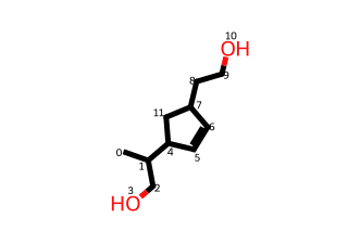 CC(CO)C1C=CC(CCO)C1